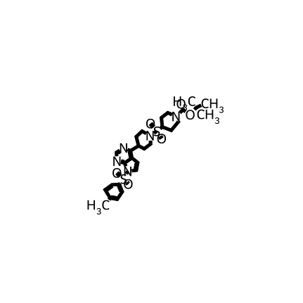 Cc1ccc(S(=O)(=O)n2ccc3c(C4CCN(S(=O)(=O)C5CCN(C(=O)OC(C)(C)C)CC5)CC4)ncnc32)cc1